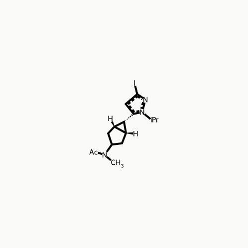 CC(=O)N(C)C1C[C@@H]2[C@H](C1)[C@@H]2c1cc(I)nn1C(C)C